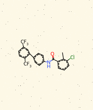 Cc1c(Cl)cccc1C(=O)Nc1ccc(-c2cc(C(F)(F)F)ccc2C(F)(F)F)cc1